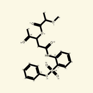 COC(C)C(=O)OC(CC(=O)Nc1ccccc1S(=O)(=O)Oc1ccccc1)C(C)=O